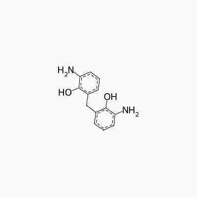 Nc1cccc(Cc2cccc(N)c2O)c1O